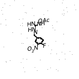 CC(=O)ONC(=N)NN=Cc1ccc(F)c([N+](=O)[O-])c1